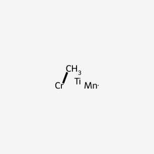 [CH3][Cr].[Mn].[Ti]